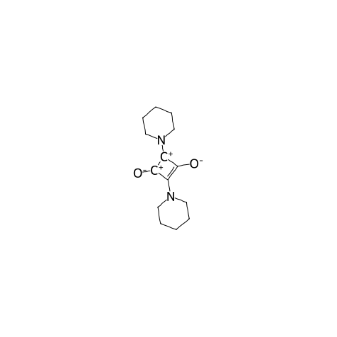 [O-]c1c(N2CCCCC2)[c+]([O-])[c+]1N1CCCCC1